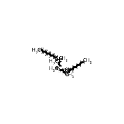 CCCCCCCCCC[N+](C)(C)CCCN(C)CCC[N+](C)(C)CCCCCCCCCC